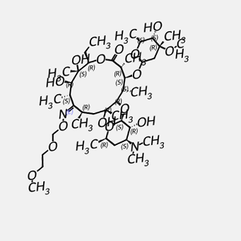 CC[C@H]1OC(=O)[C@H](C)[C@@H](OC2C[C@@](C)(OC)[C@@H](O)[C@H](C)O2)[C@H](C)[C@@H](O[C@@H]2O[C@H](C)C[C@H](N(C)C)[C@H]2O)[C@](C)(O)C[C@@H](C)/C(=N\OCOCCOC)[C@H](C)[C@@H](O)[C@]1(C)O